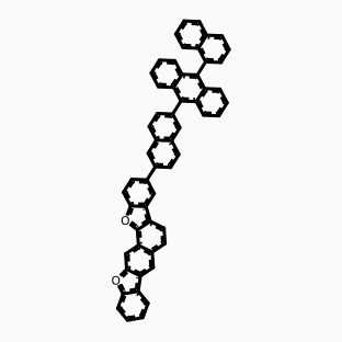 c1ccc2c(-c3c4ccccc4c(-c4ccc5cc(-c6ccc7oc8c9cc%10oc%11ccccc%11c%10cc9ccc8c7c6)ccc5c4)c4ccccc34)cccc2c1